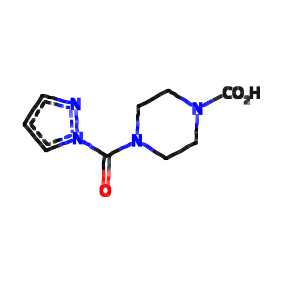 O=C(O)N1CCN(C(=O)n2cccn2)CC1